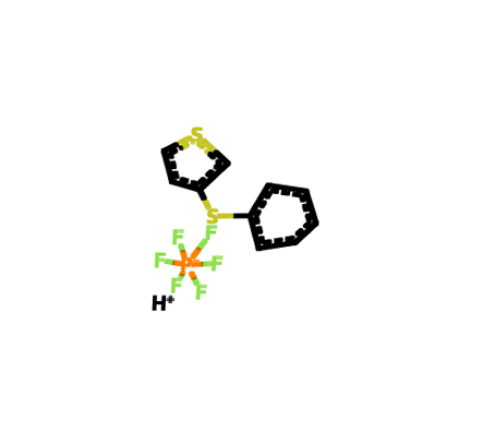 F[P-](F)(F)(F)(F)F.[H+].c1ccc(Sc2ccsc2)cc1